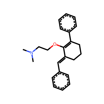 CN(C)CCOC1=C(c2ccccc2)CCCC1=Cc1ccccc1